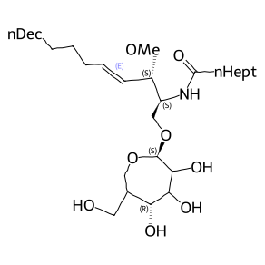 CCCCCCCCCCCCC/C=C/[C@H](OC)[C@H](CO[C@@H]1OCC(CO)[C@@H](O)C(O)C1O)NC(=O)CCCCCCC